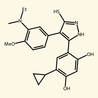 CCN(C)c1cc(-c2c(S)n[nH]c2-c2cc(C3CC3)c(O)cc2O)ccc1OC